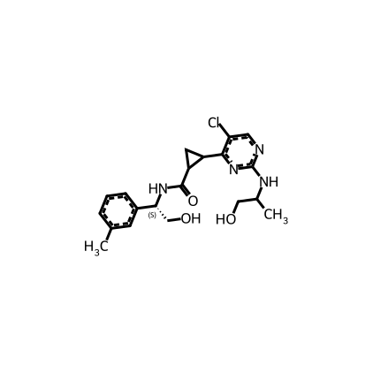 Cc1cccc([C@@H](CO)NC(=O)C2CC2c2nc(NC(C)CO)ncc2Cl)c1